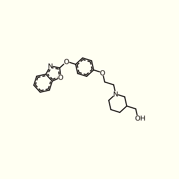 OCC1CCCN(CCOc2ccc(Oc3nc4ccccc4o3)cc2)C1